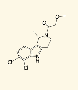 COCC(=O)N1CCc2[nH]c3c(Cl)c(Cl)ccc3c2[C@@H]1C